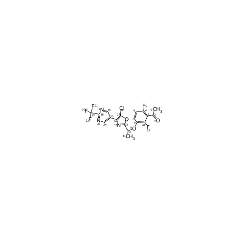 CC(=O)c1c(F)ccc(OC(C)c2nc(-c3cnc(C(F)(F)F)nc3)c(Cl)o2)c1F